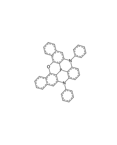 c1ccc(N2c3cccc4c3P3c5c2cc2ccccc2c5Oc2c3c(cc3ccccc23)N4c2ccccc2)cc1